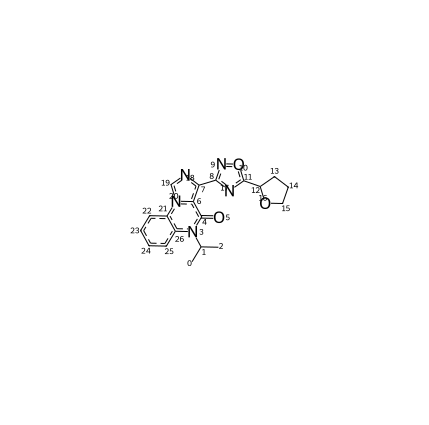 CC(C)n1c(=O)c2c(-c3noc(C4CCCO4)n3)ncn2c2ccccc21